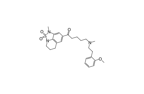 COc1ccccc1CCN(C)CCCCC(=O)c1cc2c3c(c1)N(C)S(=O)(=O)N3CCC2